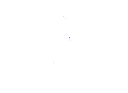 CCOC(=O)c1nc(C2CC2)n2c1CSc1ccccc1-2